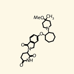 COC1(C)CCN([C@H]2CCCCC[C@H]2Oc2ccc3c(c2)CN(C2CCC(=O)NC2=O)C3=O)CC1